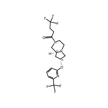 O=C(CCC(F)(F)F)N1CCN2C[C@H](Oc3cccc(C(F)(F)F)n3)C[C@H]2C1